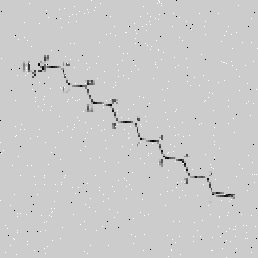 C=CCCCCCCCCCCCCC[SiH3]